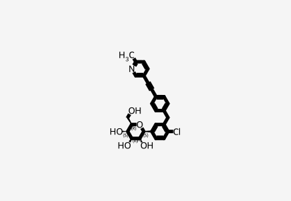 Cc1ccc(C#Cc2ccc(Cc3cc([C@@H]4O[C@H](CO)[C@@H](O)[C@H](O)[C@H]4O)ccc3Cl)cc2)cn1